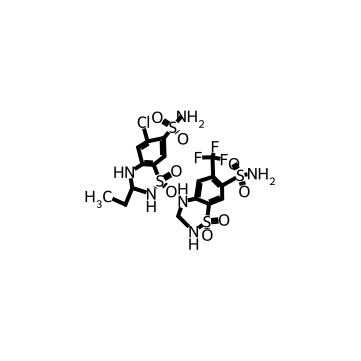 CCC1Nc2cc(Cl)c(S(N)(=O)=O)cc2S(=O)(=O)N1.NS(=O)(=O)c1cc2c(cc1C(F)(F)F)NCNS2(=O)=O